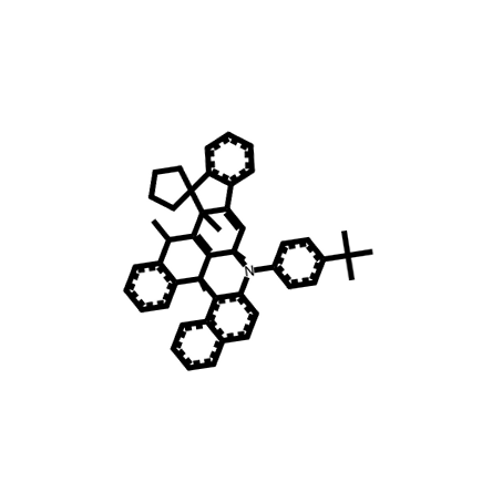 CC1C2=C3C(C)(c4ccccc41)c1c(ccc4ccccc14)N(c1ccc(C(C)(C)C)cc1)C3(C)C=C1c3ccccc3C3(CCCC3)C12C